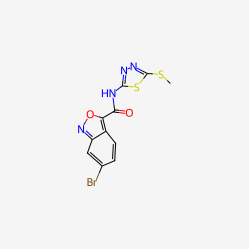 CSc1nnc(NC(=O)c2onc3cc(Br)ccc23)s1